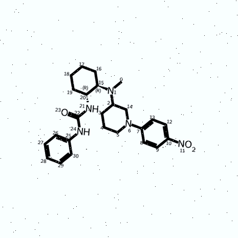 CN(C1CCCN(c2ccc([N+](=O)[O-])cc2)C1)[C@@H]1CCCC[C@H]1NC(=O)Nc1ccccc1